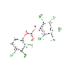 O=C(Oc1ccc(Br)c(Br)c1Br)Oc1c(Br)c(Br)c(Br)c(Br)c1Br